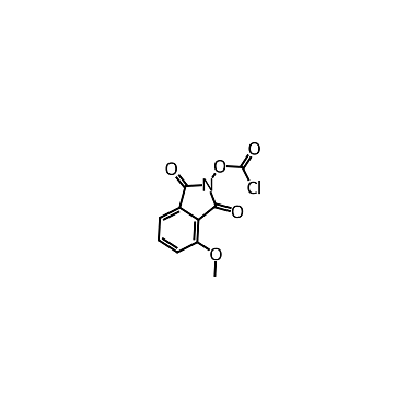 COc1cccc2c1C(=O)N(OC(=O)Cl)C2=O